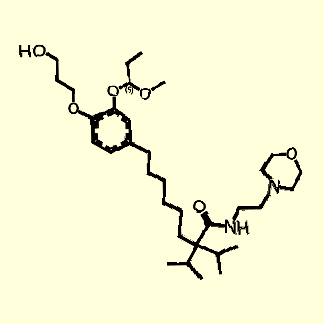 CC[C@@H](OC)Oc1cc(CCCCCCC(C(=O)NCCN2CCOCC2)(C(C)C)C(C)C)ccc1OCCCO